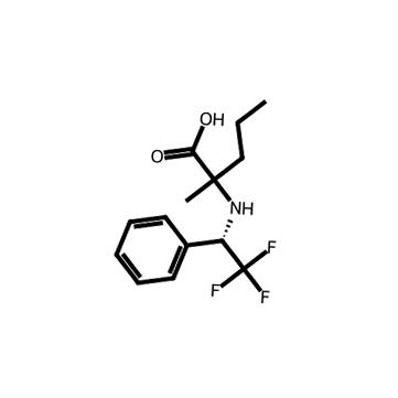 CCCC(C)(N[C@@H](c1ccccc1)C(F)(F)F)C(=O)O